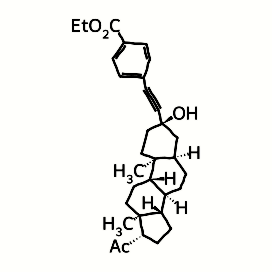 CCOC(=O)c1ccc(C#C[C@@]2(O)CC[C@@]3(C)[C@H](CC[C@@H]4[C@@H]3CC[C@]3(C)[C@@H](C(C)=O)CC[C@@H]43)C2)cc1